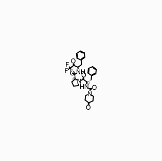 O=C1CCN(C(=O)N[C@@H](Cc2ccccc2)C(=O)N2CCC[C@H]2C(=O)NC(Cc2ccccc2)C(=O)C(F)(F)F)CC1